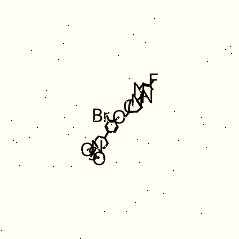 CS(=O)(=O)N1CCC(c2ccc(OCC3CCN(c4ncc(F)cn4)CC3)c(Br)c2)CC1